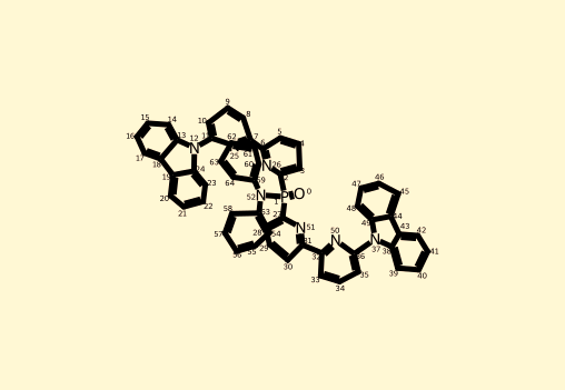 O=P(c1cccc(-c2cccc(-n3c4ccccc4c4ccccc43)n2)n1)(c1cccc(-c2cccc(-n3c4ccccc4c4ccccc43)n2)n1)N(c1ccccc1)c1ccccc1